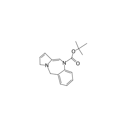 CC(C)(C)OC(=O)N1C=C2C=CCN2Cc2ccccc21